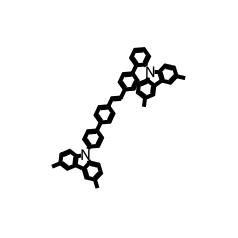 Cc1ccc2c(c1)c1cc(C)ccc1n2-c1ccc(-c2ccc(/C=C/c3ccc(-c4ccccc4-n4c5ccc(C)cc5c5cc(C)ccc54)cc3)cc2)cc1